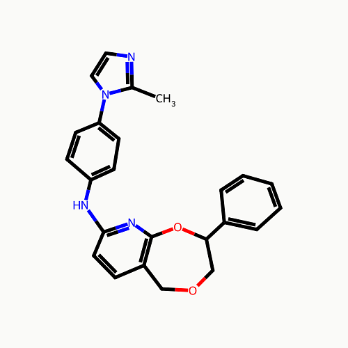 Cc1nccn1-c1ccc(Nc2ccc3c(n2)OC(c2ccccc2)COC3)cc1